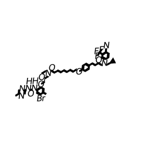 Cc1cnc(NC(=O)Nc2cc(Br)c(C)cc2OC[C@@H]2CN(C(=O)CCCCCCCCOc3ccc(CCC(=O)CN(CC4CC4)c4ccc(C#N)c(C(F)(F)F)c4)cc3)CCO2)cn1